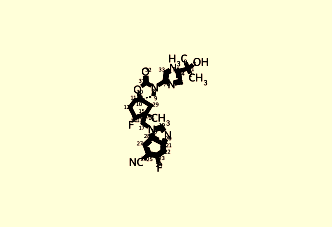 CC(C)(O)c1cnc(N2C[C@]3(CC[C@H](F)[C@@](C)(Cn4cnc5cc(F)c(C#N)cc54)C3)OC2=O)cn1